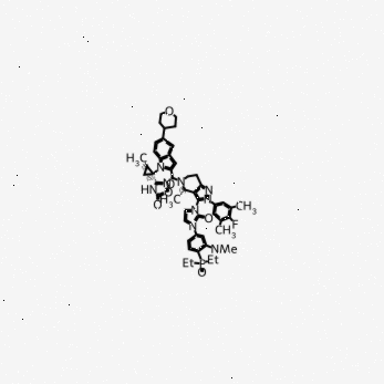 CCP(=O)(CC)c1ccc(-n2ccn(-c3c4c(nn3-c3cc(C)c(F)c(C)c3)CCN(C(=O)c3cc5cc(C6CCOCC6)ccc5n3[C@@]3(c5noc(=O)[nH]5)C[C@@H]3C)[C@H]4C)c2=O)cc1NC